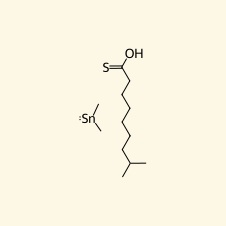 CC(C)CCCCCCC(O)=S.[CH3][Sn][CH3]